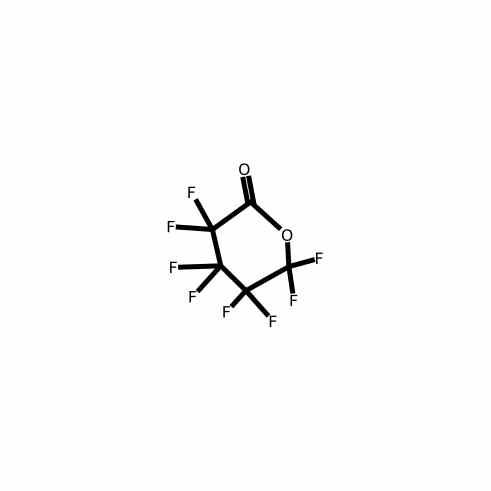 O=C1OC(F)(F)C(F)(F)C(F)(F)C1(F)F